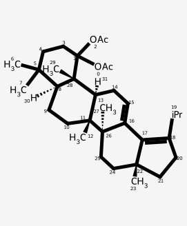 CC(=O)OC1(OC(C)=O)CCC(C)(C)[C@@H]2CC[C@]3(C)[C@H](CC=C4C5=C(C(C)C)CC[C@]5(C)CC[C@]43C)[C@]21C